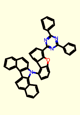 c1ccc(-c2nc(-c3ccccc3)nc(-c3cccc4c3oc3cccc(-n5c6ccc7ccccc7c6c6ccc7ccccc7c65)c34)n2)cc1